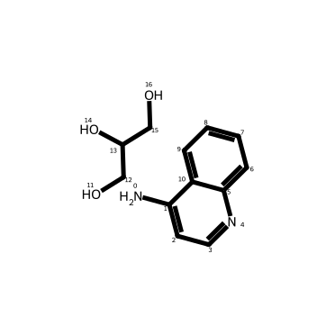 Nc1ccnc2ccccc12.OCC(O)CO